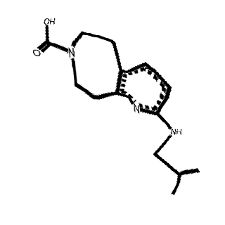 CC(C)CNc1ccc2c(n1)CCN(C(=O)O)CC2